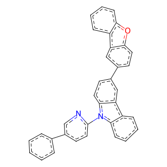 c1ccc(-c2ccc(-n3c4ccccc4c4cc(-c5ccc6oc7ccccc7c6c5)ccc43)nc2)cc1